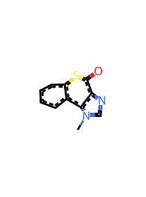 Cn1cnc2c(=O)sc3ccccc3c21